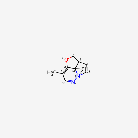 CC1=C2OCC3CCN(N=C1)C23C